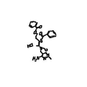 C/C(=C(\CCOC(=O)c1ccccc1)SC(=O)c1ccccc1)N(C=O)Cc1cnc(C)nc1N.Cl